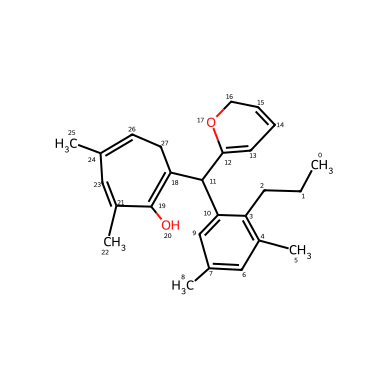 CCCc1c(C)cc(C)cc1C(C1=CC=CCO1)C1=C(O)C(C)=CC(C)=CC1